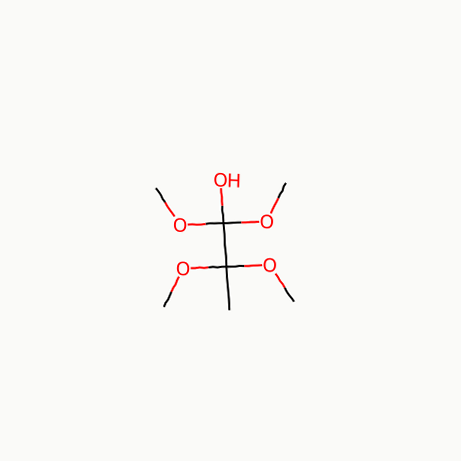 COC(C)(OC)C(O)(OC)OC